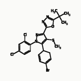 CSc1c(-c2nnc(C(C)(C)C)o2)nn(-c2ccc(Cl)cc2Cl)c1C1C=CC(Br)=CC1